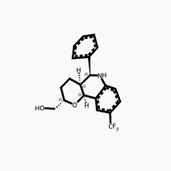 OC[C@@H]1CC[C@H]2[C@@H](c3ccccc3)Nc3ccc(C(F)(F)F)cc3[C@H]2O1